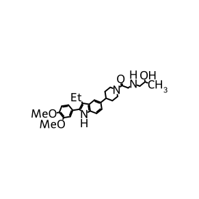 CCc1c(-c2ccc(OC)c(OC)c2)[nH]c2ccc(C3CCN(C(=O)CNCC(C)O)CC3)cc12